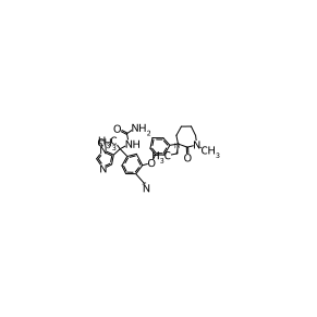 CC[C@@]1(c2cccc(Oc3cc(C(C)(NC(N)=O)c4cncn4C)ccc3C#N)c2)CCCCN(C)C1=O